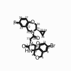 O=C1NC2(COCc3cc(Br)ccc32)C(=O)N1CC(=O)N1Cc2cc(F)ccc2OC[C@H]1C1CC1